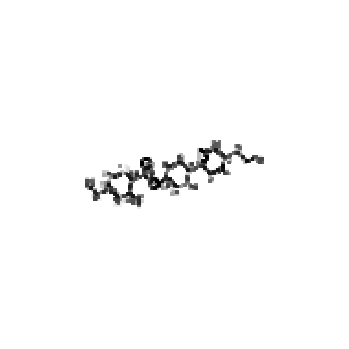 CCCc1ccc(-c2ccc(OC(=O)c3ccc(CC)cc3F)cc2)nc1